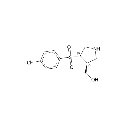 O=S(=O)(c1ccc(Cl)cc1)[C@@H]1CNC[C@H]1CO